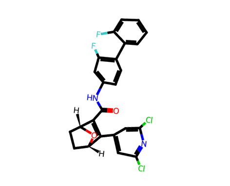 O=C(Nc1ccc(-c2ccccc2F)c(F)c1)C1=C(c2cc(Cl)nc(Cl)c2)[C@@H]2CC[C@H]1O2